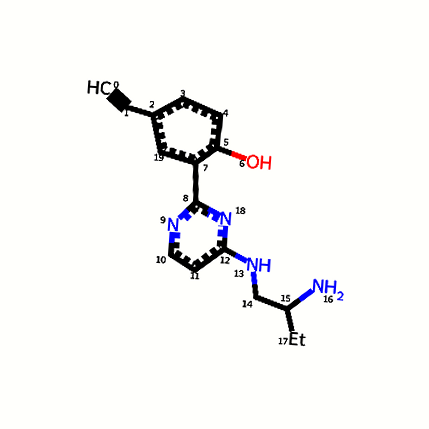 C#Cc1ccc(O)c(-c2nccc(NCC(N)CC)n2)c1